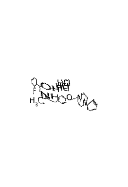 CC(Cc1ccc(OCCN2CCN(c3ccccc3)CC2)cc1)NCC(O)c1ccccc1F.Cl.Cl.Cl